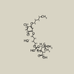 CCCCCOc1cc(OCCCCOP(=O)(O)O[C@H](CC(=O)O)C[N+](C)(C)C)c(Cl)cc1Cl.[OH-]